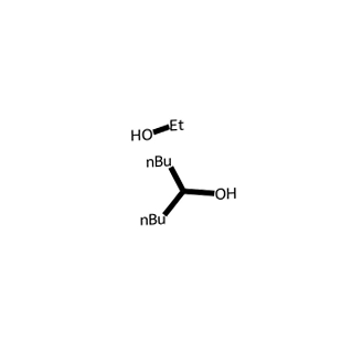 CCCCC(O)CCCC.CCO